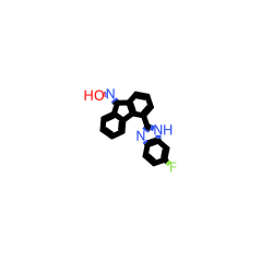 O/N=C1\c2ccccc2-c2c1cccc2-c1nc2ccc(F)cc2[nH]1